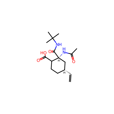 C=C[C@@H]1CCC(C(=O)O)[C@@](NC(C)=O)(C(=O)NC(C)(C)C)C1